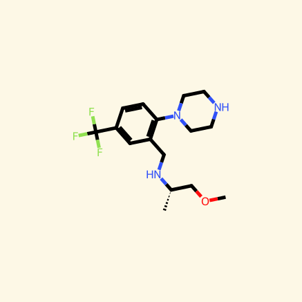 COC[C@H](C)NCc1cc(C(F)(F)F)ccc1N1CCNCC1